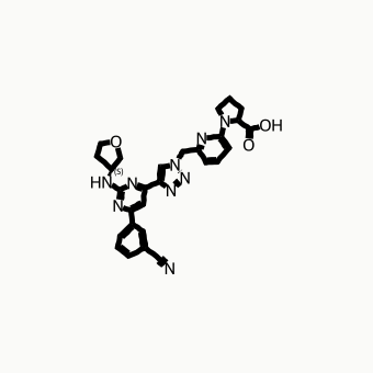 N#Cc1cccc(-c2cc(-c3cn(Cc4cccc(N5CCCC5C(=O)O)n4)nn3)nc(N[C@H]3CCOC3)n2)c1